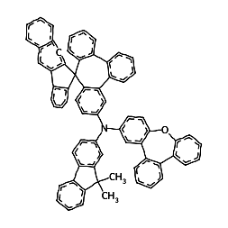 CC1(C)c2ccccc2-c2ccc(N(c3ccc4c(c3)-c3ccccc3-c3ccccc3O4)c3ccc4c(c3)-c3ccccc3-c3ccccc3C43c4ccccc4-c4cc5ccccc5cc43)cc21